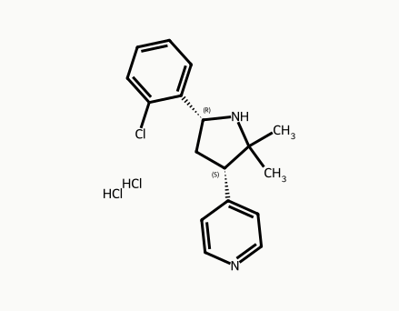 CC1(C)N[C@@H](c2ccccc2Cl)C[C@H]1c1ccncc1.Cl.Cl